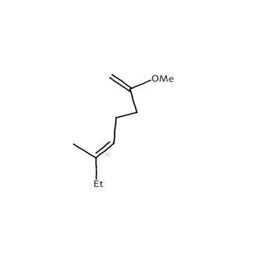 C=C(CC/C=C(\C)CC)OC